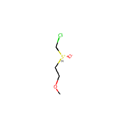 COCC[S@@+]([O-])CCl